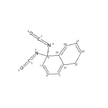 O=C=NC1(N=C=O)C=CC=C2CC=CC=C21